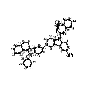 CC(C)c1ccc2c(c1)c1cc(-c3ccc4c(c3)c3ccc5ccccc5c3n4-c3ccccc3)ccc1n2-c1nc(C#N)c2ccccc2n1